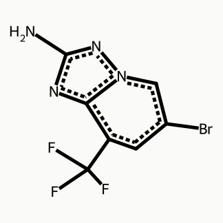 Nc1nc2c(C(F)(F)F)cc(Br)cn2n1